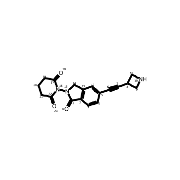 O=C1c2ccc(C#CC3CNC3)cc2CN1N1C(=O)CCCC1=O